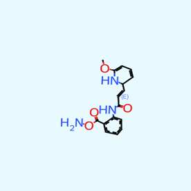 COC1=CC=CC(/C=C/C(=O)Nc2ccccc2C(=O)ON)N1